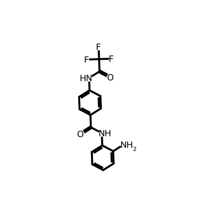 Nc1ccccc1NC(=O)c1ccc(NC(=O)C(F)(F)F)cc1